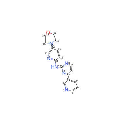 c1cncc(-c2ccnc(Nc3ccc(N4CCOCC4)cn3)n2)c1